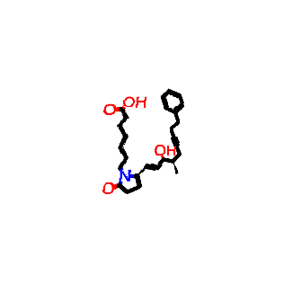 C[C@H](CC#CCCc1ccccc1)[C@H](O)/C=C/[C@H]1CCC(=O)N1CCCCCCC(=O)O